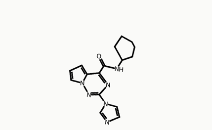 O=C(NC1CCCCC1)c1nc(-n2ccnc2)nn2cccc12